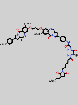 COc1ccc(C2=CN3C(=O)c4cc(OC)c(OCCCOc5cc6c(cc5OC)C(=O)N5C=C(c7ccc(NC(=O)CNC(=O)C(NC(=O)CCCCCN8C(=O)CC(CCSC)C8=O)C(C)C)cc7)CC5C=N6)cc4N=C[C@@H]3C2)cc1